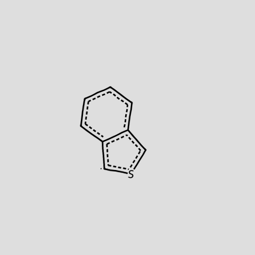 [c]1scc2ccccc12